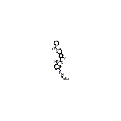 CCCC/C=N/N=C/C1=CC=CC(NC(=O)c2cc3c(cc2F)CCN(C(=O)N2CCCCC2)C3)N1